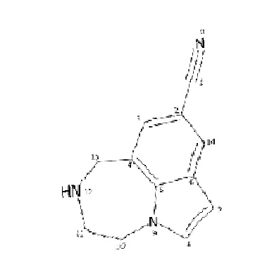 N#Cc1cc2c3c(ccn3CCNC2)c1